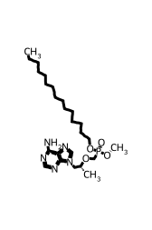 CCCCCCCCCCCCCCCOP(=O)(CO[C@H](C)Cn1cnc2c(N)ncnc21)OC